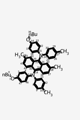 CCCCOc1ccc(N(c2ccc(C)cc2)c2c3ccc(C)cc3c(N(c3ccc(C)cc3)c3ccc(OCCCC)cc3)c3cc(C)ccc23)cc1